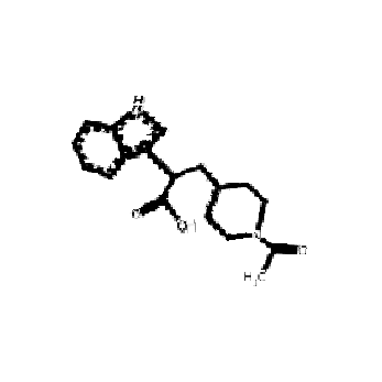 CC(=O)N1CCC(CC(C(=O)O)c2c[nH]c3ccccc23)CC1